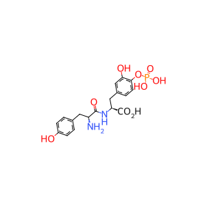 N[C@@H](Cc1ccc(O)cc1)C(=O)N[C@@H](Cc1ccc(OP(=O)(O)O)c(O)c1)C(=O)O